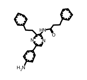 Nc1ccc(-c2cnc(NC(=O)CCc3ccccc3)c(CCc3ccccc3)n2)cc1